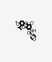 COc1ccc(Oc2c(Cl)cc(NC(=O)N3CCOCC3)cc2Cl)cc1C(C)C